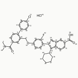 CN(C)C(=O)c1ccc(-c2ccc(Cl)cc2)c(COc2ccc(-c3nc4cc(C(=O)O)ccc4n3C3CCCCC3)c(F)c2)c1.Cl